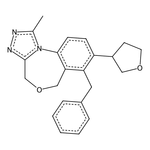 Cc1nnc2n1-c1ccc(C3CCOC3)c(Cc3ccccc3)c1COC2